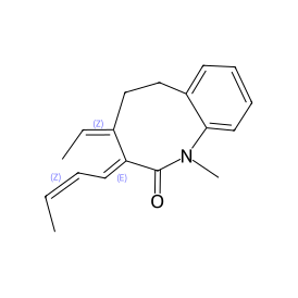 C\C=C/C=C1/C(=O)N(C)c2ccccc2CC/C1=C/C